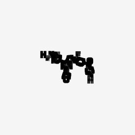 Nc1ncc(-c2nc(N3CCOCC3)nc3c2ccn3-c2ccc(C(=O)N3CCNCC3)cc2F)cn1